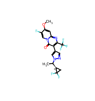 COc1cc2nc(C(F)(F)F)c(-c3cnn(C(C)[C@H]4CC4(F)F)c3)c(=O)n2cc1F